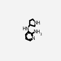 Nc1ncccc1NC1CCNC1